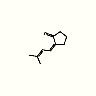 CC(C)=CC=C1CCCC1=O